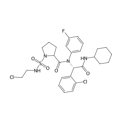 O=C(NC1CCCCC1)[C@H](c1ccccc1Cl)N(C(=O)C1CCCN1S(=O)(=O)NCCCl)c1cccc(F)c1